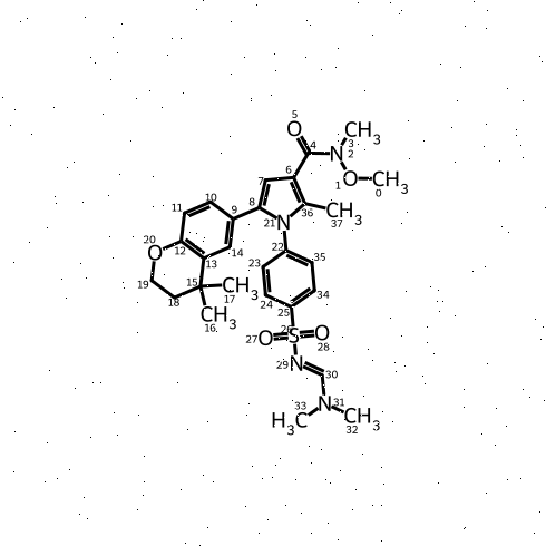 CON(C)C(=O)c1cc(-c2ccc3c(c2)C(C)(C)CCO3)n(-c2ccc(S(=O)(=O)N=CN(C)C)cc2)c1C